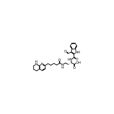 O=Cc1c(C(=O)N[C@@H](CCNC(=O)CCCCc2ccc3c(n2)NCCC3)C(=O)O)[nH]c2ccccc12